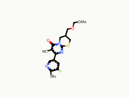 COCOCC1CSc2nc(-c3cnc(C(C)(C)C)c(F)c3)c(C#N)c(=O)n2C1